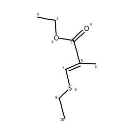 CCOC(=O)C(C)=CSCC